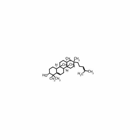 CC(C)=CCC[C@]1(C)CC[C@]2(C)[C@H]3CC=C4[C@@H](CC[C@H](O)C4(C)C)[C@]3(C)CC[C@@]2(C)C1